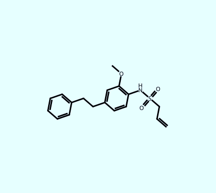 C=CCS(=O)(=O)Nc1ccc(CCc2ccccc2)cc1OC